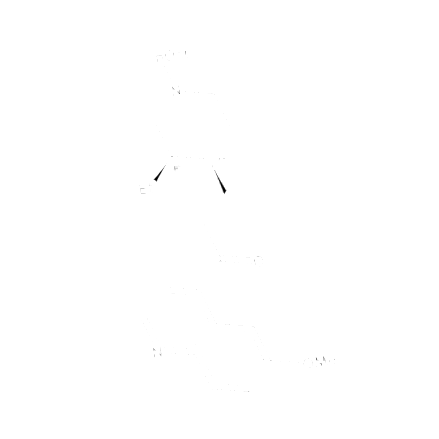 CCCCCCCCN1CC[C@@H](CCC(=O)c2ccnc3ccc(OC)cc23)[C@@H](CC)C1